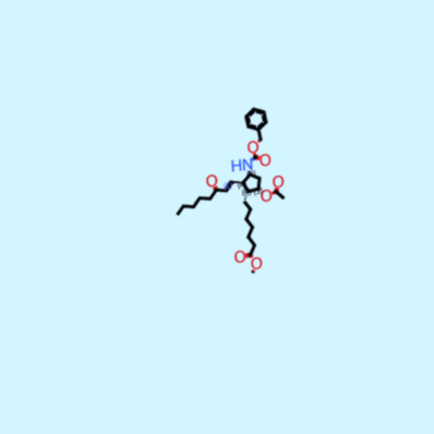 CCCCCC(=O)/C=C/[C@@H]1[C@@H](CCCCCCC(=O)OC)[C@@H](OC(C)=O)C[C@H]1NC(=O)OCc1ccccc1